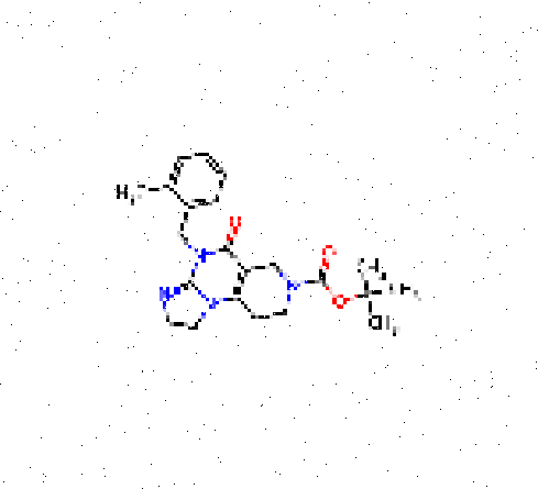 Cc1ccccc1CN1C(=O)C2=C(CCN(C(=O)OC(C)(C)C)C2)N2CCN=C12